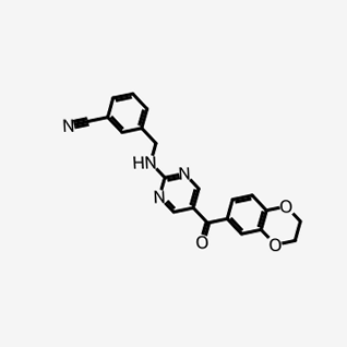 N#Cc1cccc(CNc2ncc(C(=O)c3ccc4c(c3)OCCO4)cn2)c1